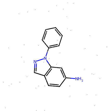 Nc1ccc2cnn(-c3ccccc3)c2c1